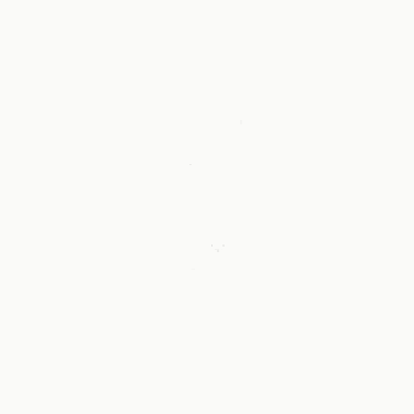 OC(Cc1ccccc1)N1CCCC1